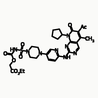 CCOC(=O)COC(=O)NS(=O)(=O)N1CCN(c2ccc(Nc3ncc4c(C)c(C(C)=O)c(=O)n(C5CCCC5)c4n3)nc2)CC1